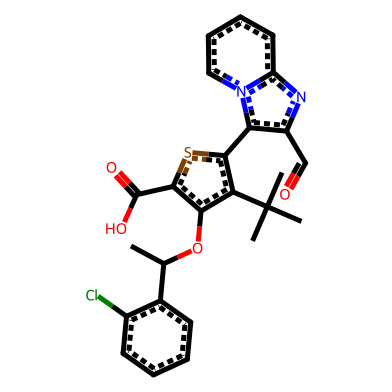 CC(Oc1c(C(=O)O)sc(-c2c(C=O)nc3ccccn23)c1C(C)(C)C)c1ccccc1Cl